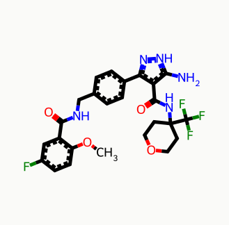 COc1ccc(F)cc1C(=O)NCc1ccc(-c2n[nH]c(N)c2C(=O)NC2(C(F)(F)F)CCOCC2)cc1